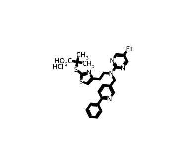 CCc1cnc(N(CCc2csc(SC(C)(C)C(=O)O)n2)Cc2ccc(-c3ccccc3)nc2)nc1.Cl